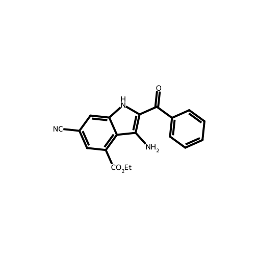 CCOC(=O)c1cc(C#N)cc2[nH]c(C(=O)c3ccccc3)c(N)c12